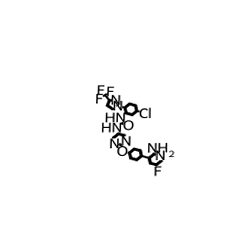 Nc1ncc(F)cc1-c1ccc(Oc2ncc(NC(=O)Nc3cc(Cl)ccc3-n3ccc(C(F)(F)F)n3)cn2)cc1